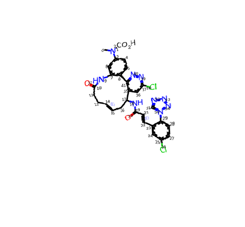 CN(C(=O)O)c1ccc2c(c1)NC(=O)CC/C=C/CC(NC(=O)/C=C/c1cc(Cl)ccc1-n1cnnn1)c1cc(Cl)nnc1-2